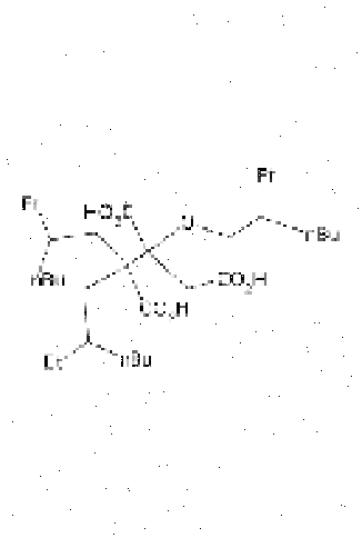 CCCCC(CC)COC(CC(=O)O)(C(=O)O)C(CC(CC)CCCC)(CC(CC)CCCC)C(=O)O